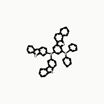 c1ccc(N(c2ccccc2)c2cc(N(c3ccc4c(c3)oc3ccccc34)c3ccc4sc5ccccc5c4c3)cc3c2sc2c4ccccc4ccc32)cc1